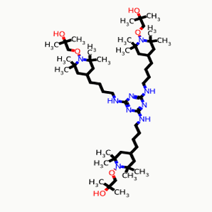 CC(C)(O)CON1C(C)(C)CC(CCCCNc2nc(NCCCCC3CC(C)(C)N(OCC(C)(C)O)C(C)(C)C3)nc(NCCCCC3CC(C)(C)N(OCC(C)(C)O)C(C)(C)C3)n2)CC1(C)C